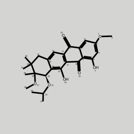 COc1cc(O)c2c(c1)C(=O)c1cc3c(c(O)c1C2=O)[C@@H](OC(C)C)C(C)(OC)C(C)(C)C3